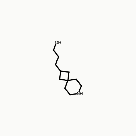 OCCCC1CC2(CCNCC2)C1